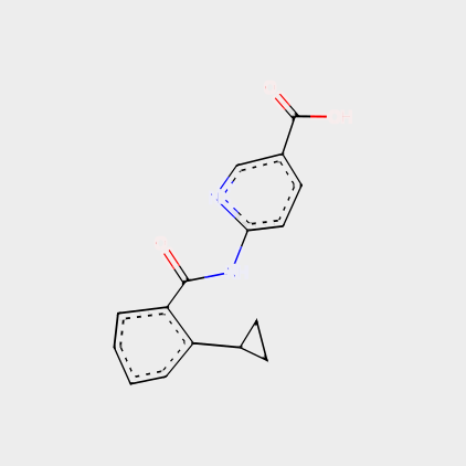 O=C(O)c1ccc(NC(=O)c2ccccc2C2CC2)nc1